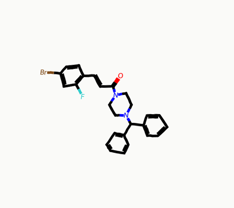 O=C(C=Cc1ccc(Br)cc1F)N1CCN(C(c2ccccc2)c2ccccc2)CC1